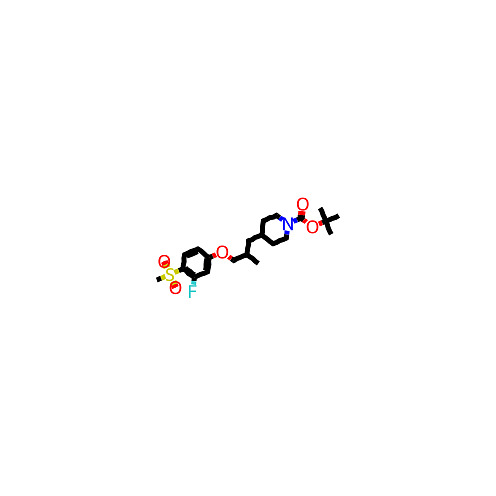 CC(COc1ccc(S(C)(=O)=O)c(F)c1)CC1CCN(C(=O)OC(C)(C)C)CC1